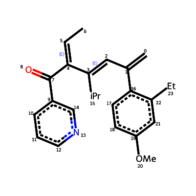 C=C(/C=C(/C(=C\C)C(=O)c1cccnc1)C(C)C)c1ccc(OC)cc1CC